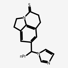 CCCC(c1cc2c3c(c1)CCN3C(=S)CC2)n1ccnc1